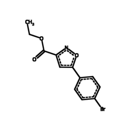 CCOC(=O)c1cc(-c2ccc(Br)cc2)on1